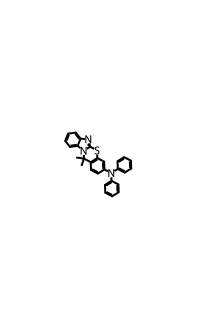 CC1(C)c2ccc(N(c3ccccc3)c3ccccc3)cc2Sc2nc3ccccc3n21